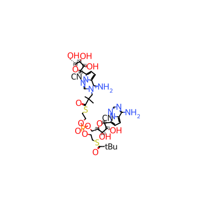 CC(C)(C)C(=O)SCCOP(=O)(OCCSC(=O)C(C)(C)C[n+]1cnn2c([C@]3(C#N)O[C@H](CO)[C@@H](O)[C@H]3O)ccc2c1N)OC[C@H]1O[C@@](C#N)(c2ccc3c(N)ncnn23)[C@H](O)[C@@H]1O